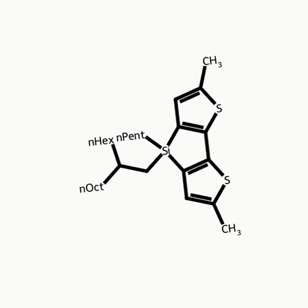 CCCCCCCCC(CCCCCC)C[Si]1(CCCCC)c2cc(C)sc2-c2sc(C)cc21